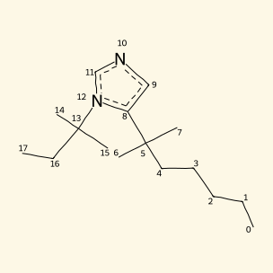 CCCCCC(C)(C)c1cncn1C(C)(C)CC